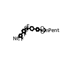 CCCCCC1COC(c2ccc(C3CCC(C(F)(F)Oc4ccc(-c5ccc(C#N)c(F)c5)c(F)c4)CC3)cc2)OC1